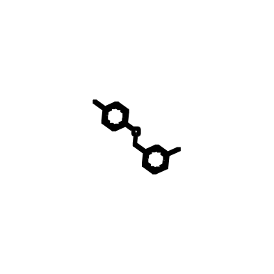 Cc1ccc(OCc2cccc(C)c2)cc1